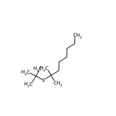 CCCCCCC(C)(C)SC(C)(C)C